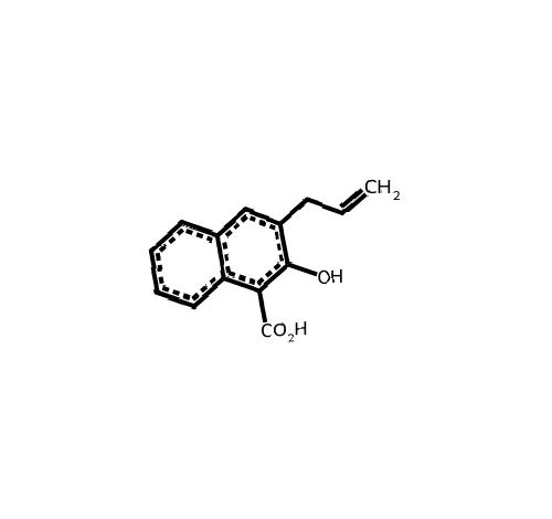 C=CCc1cc2ccccc2c(C(=O)O)c1O